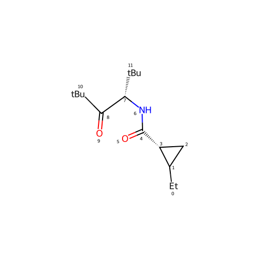 CCC1C[C@H]1C(=O)N[C@H](C(=O)C(C)(C)C)C(C)(C)C